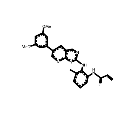 C=CC(=O)Nc1cccc(C)c1Nc1ncc2cc(-c3cc(OC)cc(OC)c3)cnc2n1